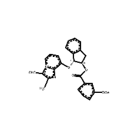 COc1cccc(C(=O)O[C@@H]2Cc3ccccc3[C@H]2Oc2cccn3c(C=O)c(C)nc23)c1